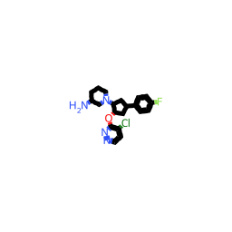 NC1CCCN(C2CC(c3ccc(F)cc3)CC2Oc2nnccc2Cl)C1